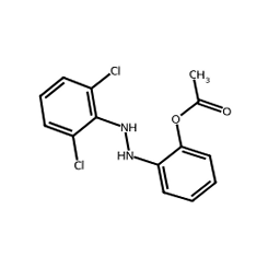 CC(=O)Oc1ccccc1NNc1c(Cl)cccc1Cl